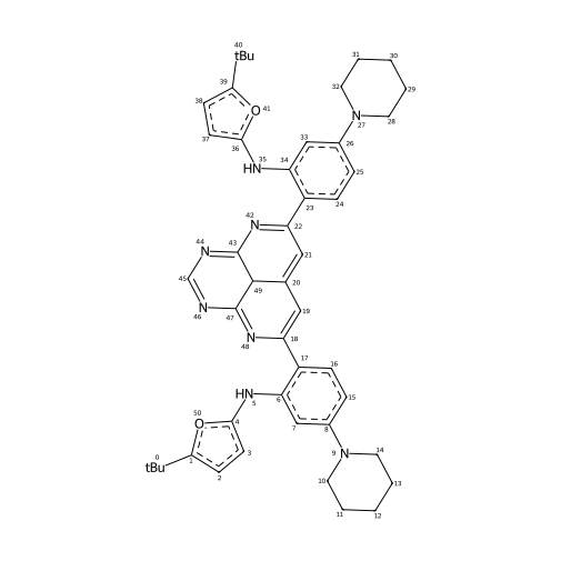 CC(C)(C)c1ccc(Nc2cc(N3CCCCC3)ccc2C2=CC3=CC(c4ccc(N5CCCCC5)cc4Nc4ccc(C(C)(C)C)o4)=NC4=NC=NC(=N2)C34)o1